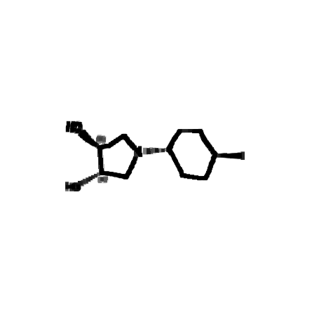 O[C@H]1CN([C@H]2CC[C@H](I)CC2)C[C@@H]1O